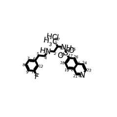 CC(CNCCc1cccc(F)c1)NS(=O)(=O)c1ccc2cnccc2c1.Cl